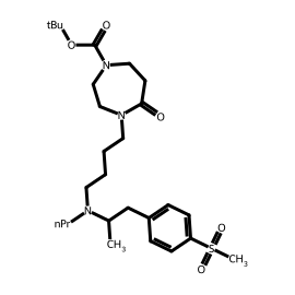 CCCN(CCCCN1CCN(C(=O)OC(C)(C)C)CCC1=O)C(C)Cc1ccc(S(C)(=O)=O)cc1